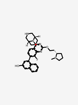 CN1CCC[C@H]1CCOc1nc(N2[C@@H]3CNC[C@H]2COC3)c2ccc(-c3cc(O)cc4ccccc34)c(F)c2n1